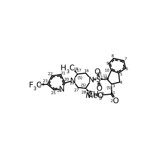 COC(=O)[C@@H]1Cc2ccccc2[C@@H]1S(=O)(=O)N1C[C@H](C)N(c2ccc(C(F)(F)F)cn2)C[C@@H]1C